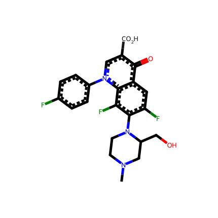 CN1CCN(c2c(F)cc3c(=O)c(C(=O)O)cn(-c4ccc(F)cc4)c3c2F)C(CO)C1